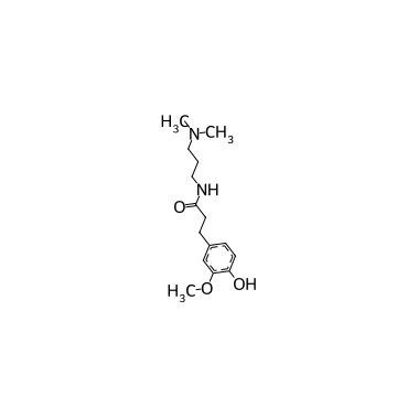 COc1cc(CCC(=O)NCCCN(C)C)ccc1O